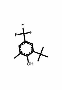 Cc1cc(C(F)(F)F)cc(C(C)(C)C)c1O